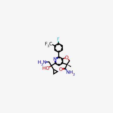 C[C@]1(C(N)=O)COc2c1cc(C(O)(CN)C1CC1)nc2-c1ccc(F)c(C(F)(F)F)c1